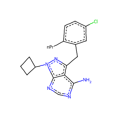 CCCc1ccc(Cl)cc1Cc1nn(C2CCC2)c2ncnc(N)c12